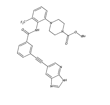 CC(C)(C)OC(=O)N1CCN(c2cccc(C(F)(F)F)c2NC(=O)c2cccc(C#Cc3cnc4[nH]cnc4c3)c2)CC1